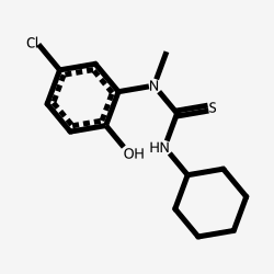 CN(C(=S)NC1CCCCC1)c1cc(Cl)ccc1O